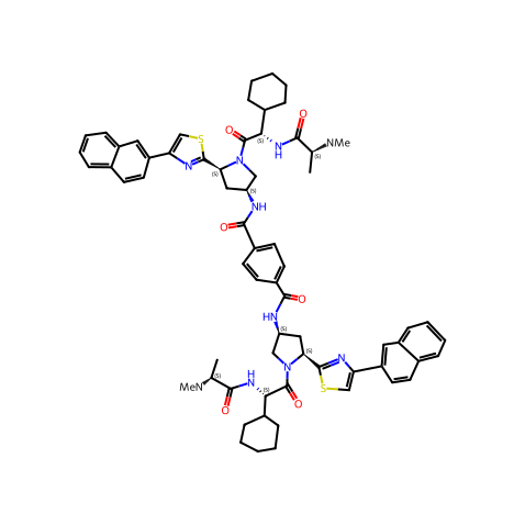 CN[C@@H](C)C(=O)N[C@H](C(=O)N1C[C@@H](NC(=O)c2ccc(C(=O)N[C@H]3C[C@@H](c4nc(-c5ccc6ccccc6c5)cs4)N(C(=O)[C@@H](NC(=O)[C@H](C)NC)C4CCCCC4)C3)cc2)C[C@H]1c1nc(-c2ccc3ccccc3c2)cs1)C1CCCCC1